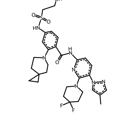 Cc1cnn(-c2ccc(NC(=O)c3ccc(NS(=O)(=O)CCO)cc3N3CCC4(CC3)CC4)nc2N2CCC(F)(F)CC2)c1